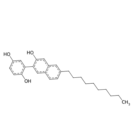 CCCCCCCCCCc1ccc2cc(-c3cc(O)ccc3O)c(O)cc2c1